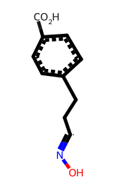 O=C(O)c1ccc(CC[C]=NO)cc1